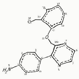 Nc1ccc(-c2nccnc2Oc2ccccc2Cl)cc1